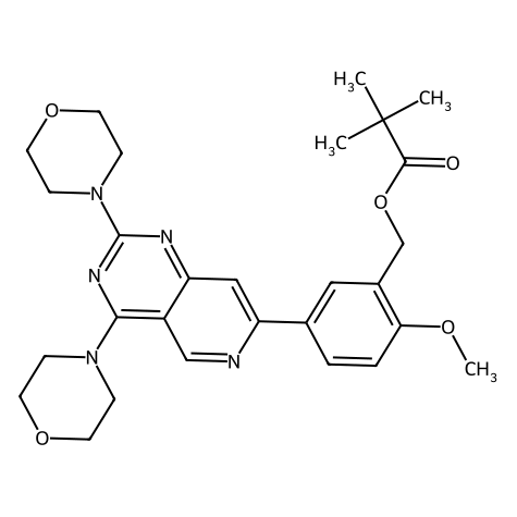 COc1ccc(-c2cc3nc(N4CCOCC4)nc(N4CCOCC4)c3cn2)cc1COC(=O)C(C)(C)C